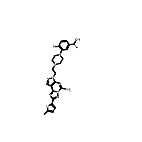 Cc1ccc(-c2nc3c4cnn(CCN5CCN(c6cc([C@H](C)O)ccc6F)CC5)c4nc(N)n3n2)o1